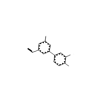 C=Cc1cc(Cl)cc(-c2ccc(Cl)c(C#N)c2)c1